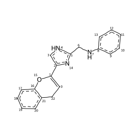 C1=C(c2c[nH]c(CNc3ccccc3)n2)Oc2ccccc2C1